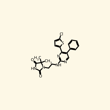 CC1(C)C(=O)NC(=O)N1CCNc1ncc(-c2ccccc2)c(-c2ccc(Cl)s2)n1